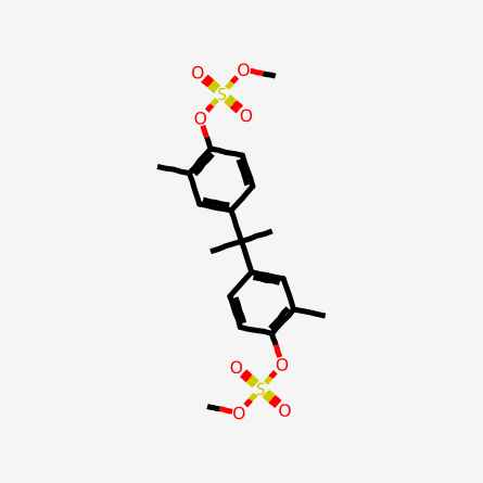 COS(=O)(=O)Oc1ccc(C(C)(C)c2ccc(OS(=O)(=O)OC)c(C)c2)cc1C